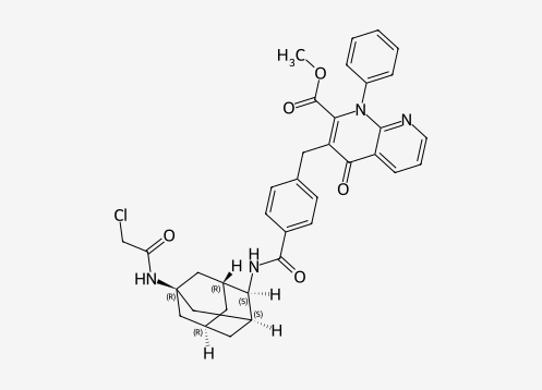 COC(=O)c1c(Cc2ccc(C(=O)N[C@@H]3[C@@H]4C[C@H]5C[C@H]3C[C@](NC(=O)CCl)(C5)C4)cc2)c(=O)c2cccnc2n1-c1ccccc1